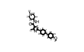 COc1ccc(-c2ccc(-c3nc(C)c(C(=O)NC4CCN(C)CC4)s3)cc2)cc1